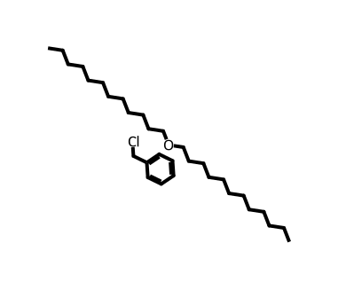 CCCCCCCCCCCCOCCCCCCCCCCCC.ClCc1ccccc1